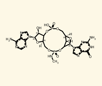 CNP1(=O)OC[C@H]2O[C@@H](n3cnc4c(N)ncnc43)[C@@H](O)C2OP(=O)(O)OC[C@H]2O[C@@H](n3cnc4c(=O)[nH]c(N)nc43)C(O1)C2O